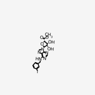 COC(=O)[C@H]1O[C@@H](n2cnc3c(NCc4cccc(I)c4)ncnc32)[C@H](O)[C@@H]1O